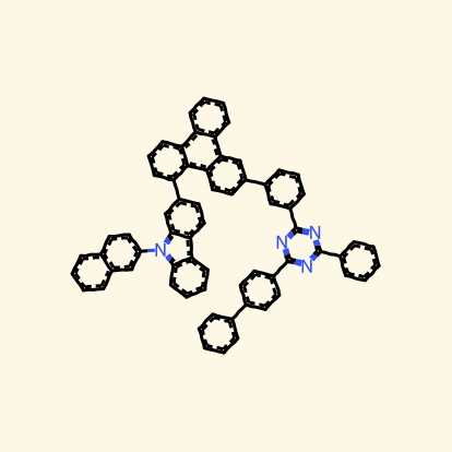 c1ccc(-c2ccc(-c3nc(-c4ccccc4)nc(-c4cccc(-c5ccc6c(c5)c5ccccc5c5cccc(-c7ccc8c9ccccc9n(-c9ccc%10ccccc%10c9)c8c7)c56)c4)n3)cc2)cc1